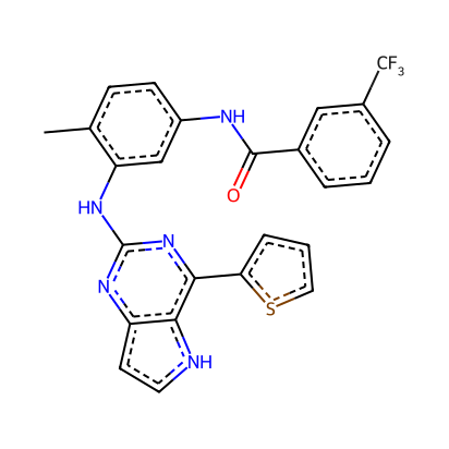 Cc1ccc(NC(=O)c2cccc(C(F)(F)F)c2)cc1Nc1nc(-c2cccs2)c2[nH]ccc2n1